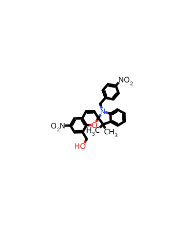 CC1(C)c2ccccc2N(Cc2ccc([N+](=O)[O-])cc2)C12C=Cc1cc([N+](=O)[O-])cc(CO)c1O2